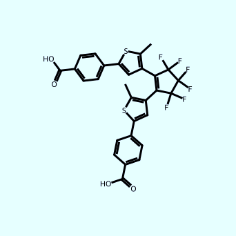 Cc1sc(-c2ccc(C(=O)O)cc2)cc1C1=C(c2cc(-c3ccc(C(=O)O)cc3)sc2C)C(F)(F)C(F)(F)C1(F)F